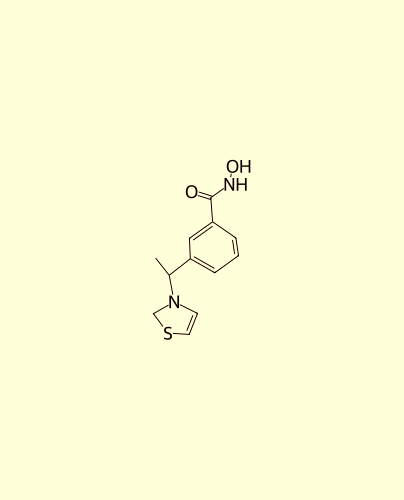 CC(c1cccc(C(=O)NO)c1)N1C=CSC1